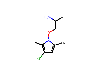 Cc1c(Cl)cc(C#N)n1OCC(C)N